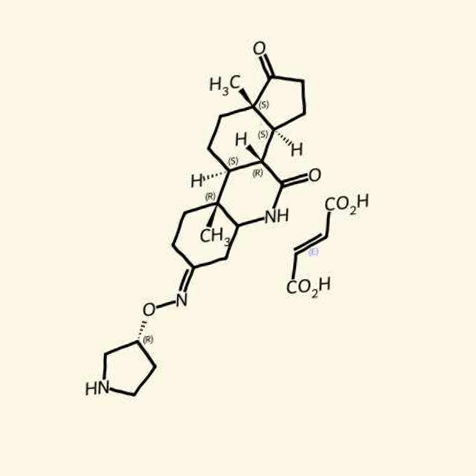 C[C@]12CCC(=NO[C@@H]3CCNC3)CC1NC(=O)[C@@H]1[C@@H]2CC[C@]2(C)C(=O)CC[C@@H]12.O=C(O)/C=C/C(=O)O